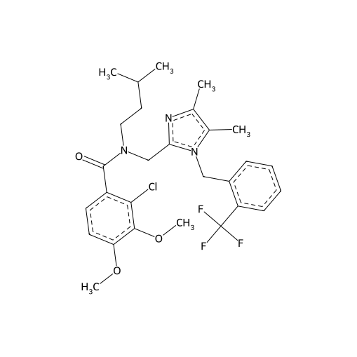 COc1ccc(C(=O)N(CCC(C)C)Cc2nc(C)c(C)n2Cc2ccccc2C(F)(F)F)c(Cl)c1OC